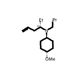 C=CC[C@H](CC)N(CC(C)C)[C@H]1CC[C@H](OC)CC1